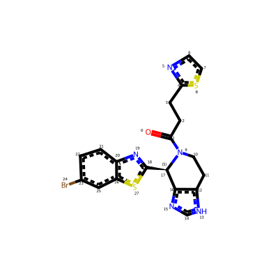 O=C(CCc1nccs1)N1CCc2[nH]cnc2[C@H]1c1nc2ccc(Br)cc2s1